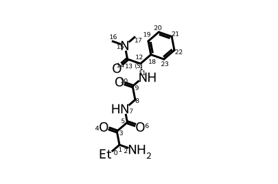 CCC(N)C(=O)C(=O)NCC(=O)N[C@H](C(=O)N(C)C)c1ccccc1